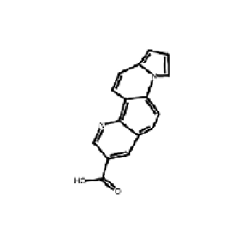 O=C(O)c1cnc2c(ccc3c2ccc2cccn23)c1